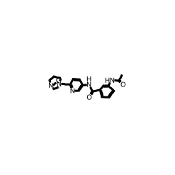 CC(=O)Nc1cccc(C(=O)Nc2ccc(N3CCN4CCC3CC4)nc2)c1